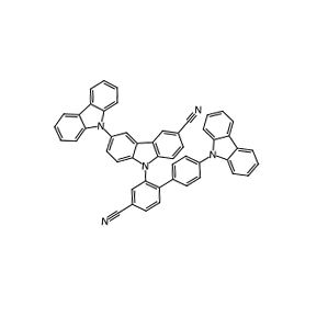 N#Cc1ccc(-c2ccc(-n3c4ccccc4c4ccccc43)cc2)c(-n2c3ccc(C#N)cc3c3cc(-n4c5ccccc5c5ccccc54)ccc32)c1